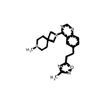 Cc1noc(CCc2ccc3ncnc(N4CC5(CCN(C)CC5)C4)c3c2)n1